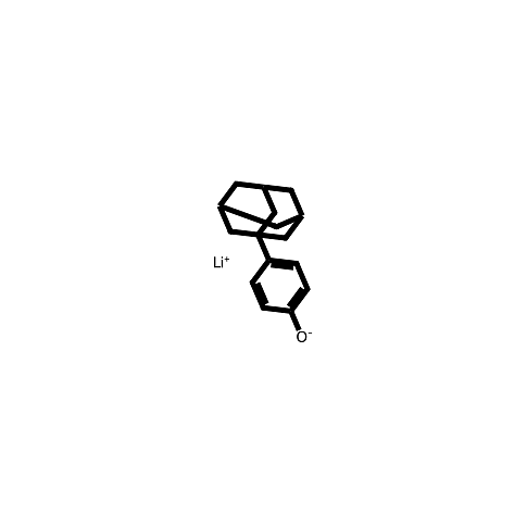 [Li+].[O-]c1ccc(C23CC4CC(CC(C4)C2)C3)cc1